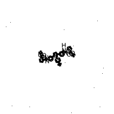 CC(C)(C)OC(=O)N1CCCC1c1nc2ccc(C3CCC(c4ccc5nc([C@@H]6CCCN6C(=O)OC(C)(C)C)[nH]c5c4)N3c3ccc(C(C)(C)C)cc3)cc2[nH]1